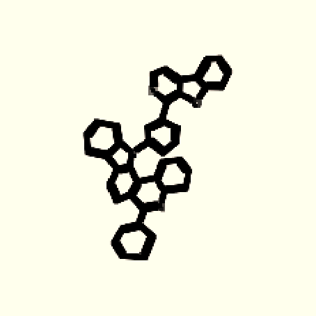 c1ccc(-c2nc3ccccc3c3c2ccc2c4ccccc4n(-c4cccc(-c5nccc6c5oc5ccccc56)c4)c23)cc1